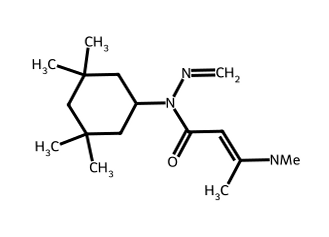 C=NN(C(=O)/C=C(\C)NC)C1CC(C)(C)CC(C)(C)C1